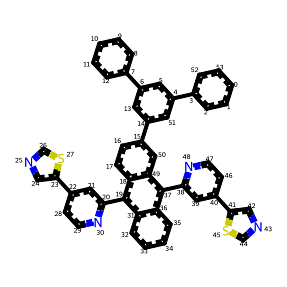 c1ccc(-c2cc(-c3ccccc3)cc(-c3ccc4c(-c5cc(-c6cncs6)ccn5)c5ccccc5c(-c5cc(-c6cncs6)ccn5)c4c3)c2)cc1